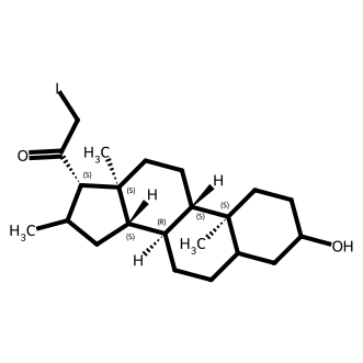 CC1C[C@H]2[C@@H]3CCC4CC(O)CC[C@]4(C)[C@H]3CC[C@]2(C)[C@H]1C(=O)CI